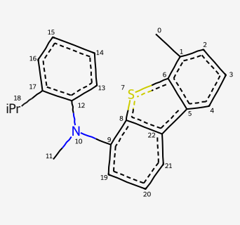 Cc1cccc2c1sc1c(N(C)c3ccccc3C(C)C)cccc12